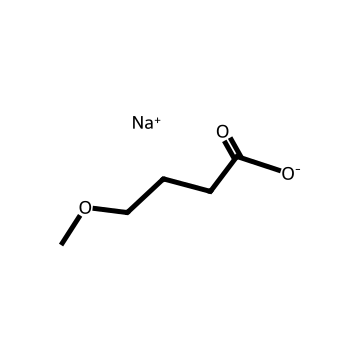 COCCCC(=O)[O-].[Na+]